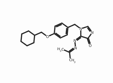 CC(C)=NN=C1C(=O)N=CN1Cc1ccc(OCC2CCCCC2)cc1